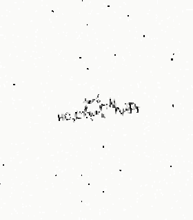 CC(C)N=Nc1ccc(C(=O)O)cc1